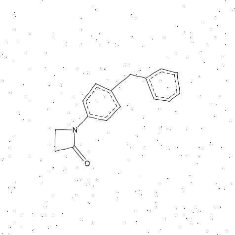 O=C1CCN1c1ccc(Cc2ccccc2)cc1